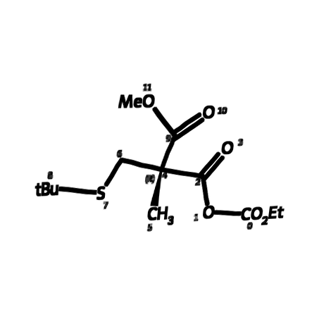 CCOC(=O)OC(=O)[C@](C)(CSC(C)(C)C)C(=O)OC